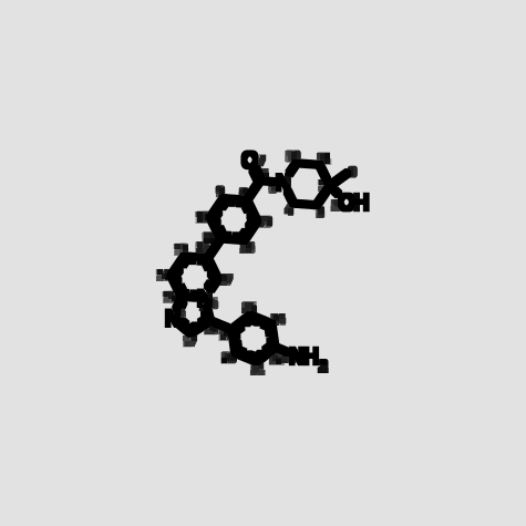 CC1(O)CCN(C(=O)c2ccc(-c3ccc4ncc(-c5ccc(N)cc5)n4c3)cc2)CC1